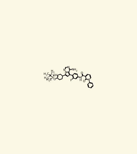 CC(C)(C)[Si](C)(C)OC1CCC(c2cc(-c3ccc(NC(=O)c4cccn(-c5ccccc5)c4=O)cc3F)c3c(N)ncnn23)CC1